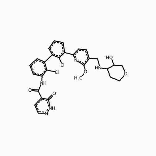 COc1nc(-c2cccc(-c3cccc(NC(=O)c4ccn[nH]c4=O)c3Cl)c2Cl)ccc1CNC1CCOCC1O